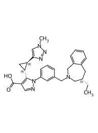 CC[C@H]1Cc2ccccc2CN(Cc2cccc(-n3ncc(C(=O)O)c3[C@@H]3C[C@H]3c3cn(C)nn3)c2)C1